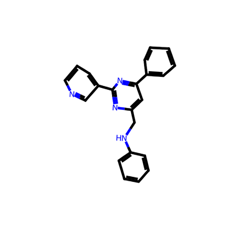 c1ccc(NCc2cc(-c3ccccc3)nc(-c3cccnc3)n2)cc1